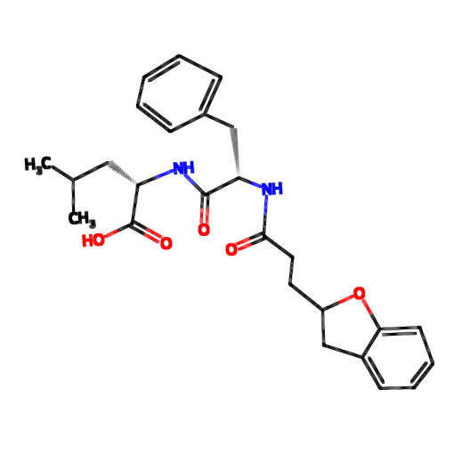 CC(C)C[C@H](NC(=O)[C@H](Cc1ccccc1)NC(=O)CCC1Cc2ccccc2O1)C(=O)O